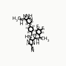 CNc1n[nH]c2ncc(-c3ccc(CNc4ncc(C#N)nc4C(=O)NC(C)c4ccc(F)c(F)c4)cc3)cc12